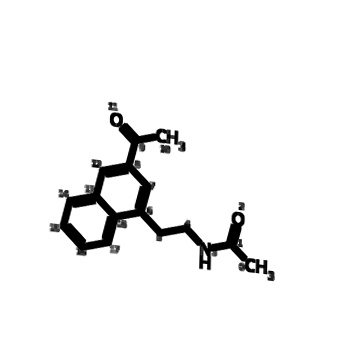 CC(=O)NCCc1cc(C(C)=O)cc2ccccc12